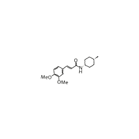 COc1ccc(C=CC(=O)N[C@H]2CC[C@H](C)CC2)cc1OC